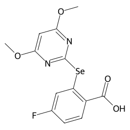 COc1cc(OC)nc([Se]c2cc(F)ccc2C(=O)O)n1